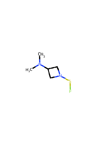 CN(C)C1CN(SF)C1